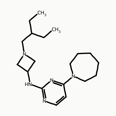 CCC(CC)CN1CC(Nc2nccc(N3CCCCCC3)n2)C1